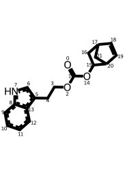 O=C(OCCc1c[nH]c2ccccc12)OC1CC2C=CC1C2